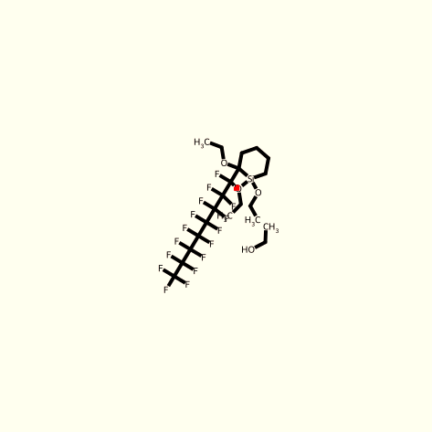 CCO.CCOC1(C(F)(F)C(F)(F)C(F)(F)C(F)(F)C(F)(F)C(F)(F)C(F)(F)C(F)(F)F)CCCC[Si]1(OCC)OCC